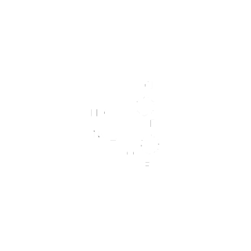 C[C@@H]1CC[C@@]2(Cc3ccc(Cl)cc3)c3c(F)ccc(F)c3OC[C@H]2[C@@H]1C#N